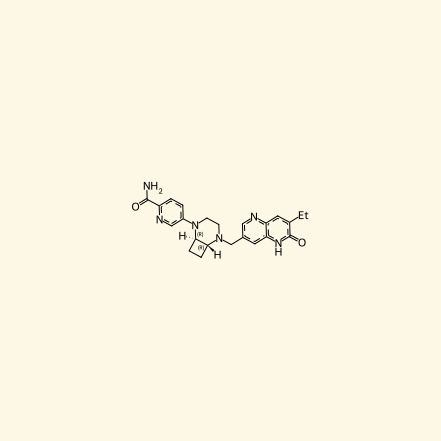 CCc1cc2ncc(CN3CCN(c4ccc(C(N)=O)nc4)[C@@H]4CC[C@H]43)cc2[nH]c1=O